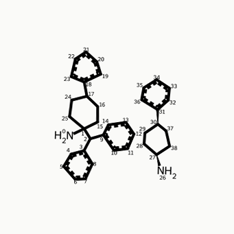 NC1(C(c2ccccc2)c2ccccc2)CCC(c2ccccc2)CC1.N[C@H]1CC[C@@H](c2ccccc2)CC1